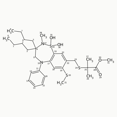 CCCCC1(CCCC)CN(c2ccccc2)c2cc(SC)c(CSC(C)(C)C(=O)OC)cc2S(O)(O)N1C